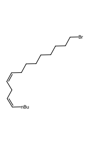 CCCC/C=C\C/C=C\CCCCCCCCBr